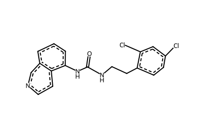 O=C(NCCc1ccc(Cl)cc1Cl)Nc1cccc2cnccc12